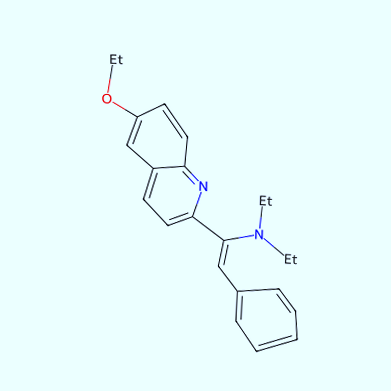 CCOc1ccc2nc(C(=Cc3ccccc3)N(CC)CC)ccc2c1